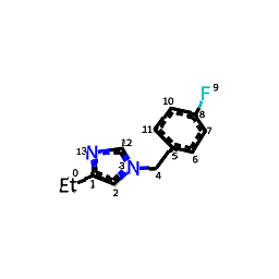 [CH2]Cc1cn(Cc2ccc(F)cc2)cn1